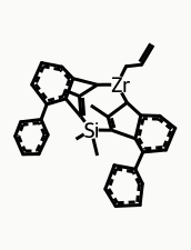 C=C[CH2][Zr]1[CH]2C(C)=C(c3c(-c4ccccc4)cccc32)[Si](C)(C)C2=C(C)[CH]1c1cccc(-c3ccccc3)c12